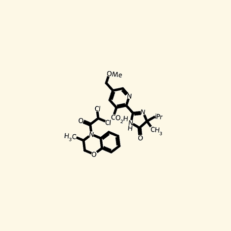 CC1COc2ccccc2N1C(=O)C(Cl)Cl.COCc1cnc(C2=NC(C)(C(C)C)C(=O)N2)c(C(=O)O)c1